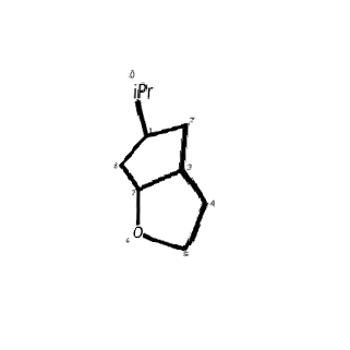 CC(C)C1CC2CCOC2C1